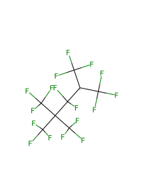 FC(F)(F)[C](C(F)(F)F)C(F)(F)C(C(F)(F)F)(C(F)(F)F)C(F)(F)F